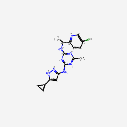 Cc1nc(Nc2cc(C3CC3)[nH]n2)nc(NC(C)c2ccc(F)cn2)n1